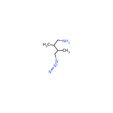 CC(CN)C(C)CN=[N+]=[N-]